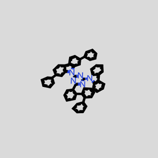 c1ccc(-c2ccc3c4ccc(-c5ccccc5)cc4n(-c4nc(-c5ccccc5-c5ccccc5-c5ccccc5)nc(-n5c6ccccc6c6ccccc65)n4)c3c2)cc1